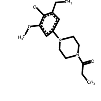 CCC(=O)N1CCN(c2cc(CC)c(Cl)c(OC)c2)CC1